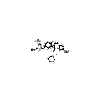 COc1ccc(Nc2nc3ccc(CN(CCC(C)C)CCC(C)C)cc3n2CCCN2CCCCC2)cc1